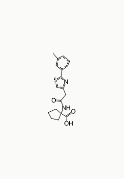 Cc1cccc(-c2nc(CC(=O)NC3(C(=O)O)CCCC3)cs2)c1